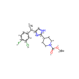 CC(C)(C)OC(=O)N1CCC(c2nc(C(C#N)c3ccc(F)c(Cl)c3)c[nH]2)CC1